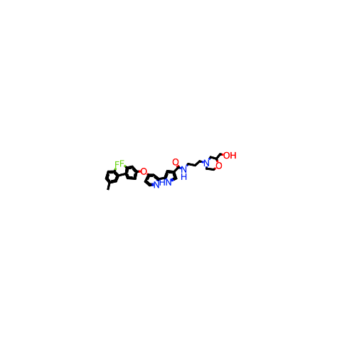 Cc1ccc(F)c(-c2ccc(Oc3ccnc(-c4cc(C(=O)NCCCN5CCOC(CO)C5)c[nH]4)c3)cc2F)c1